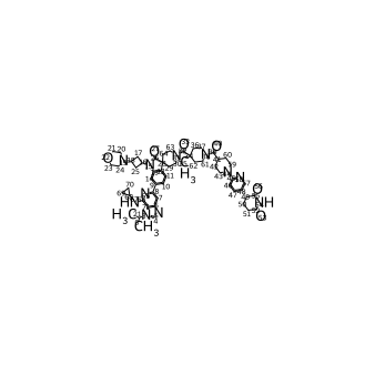 CC(C)n1cnc2cc(-c3ccc4c(c3)N(C3CC(N5CCOCC5)C3)C(=O)C43CCN(C(=O)C4(C)CCN(C(=O)C5CCN(c6ccc([C@H]7CCC(=O)NC7=O)cn6)CC5)CC4)CC3)nc(NC3CC3)c21